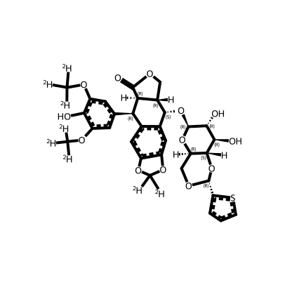 [2H]C([2H])([2H])Oc1cc([C@@H]2c3cc4c(cc3[C@@H](O[C@@H]3O[C@@H]5CO[C@@H](c6cccs6)O[C@H]5[C@H](O)[C@H]3O)[C@H]3COC(=O)[C@H]23)OC([2H])([2H])O4)cc(OC([2H])([2H])[2H])c1O